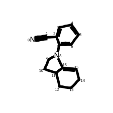 N#Cc1ccccc1N1CCC2CCCC=C21